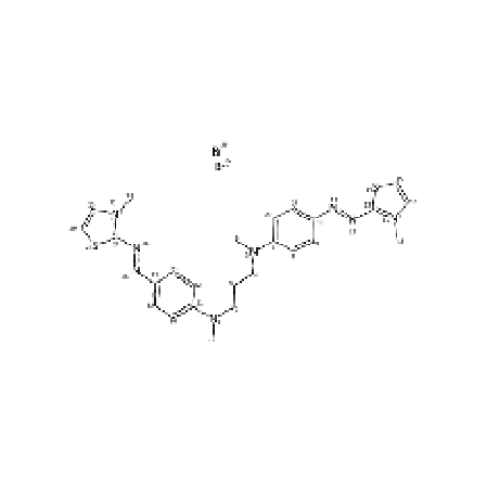 CN(CCCN(C)c1ccc(N=Nc2scc[n+]2C)cc1)c1ccc(N=Nc2scc[n+]2C)cc1.[Br-].[Br-]